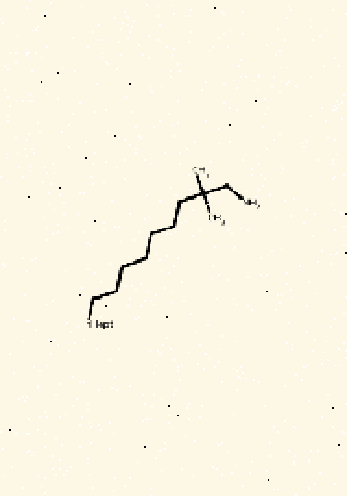 CCCCCCCCCCCCCCC(C)(C)CN